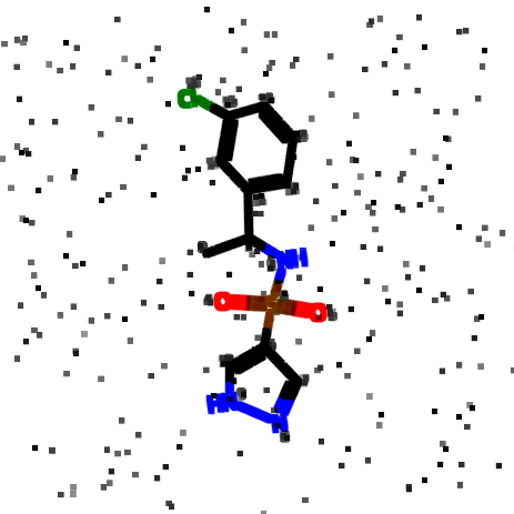 CC(NS(=O)(=O)c1cn[nH]c1)c1cccc(Cl)c1